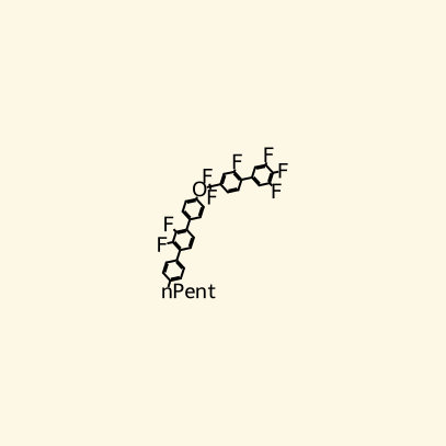 CCCCCc1ccc(-c2ccc(-c3ccc(OC(F)(F)c4ccc(-c5cc(F)c(F)c(F)c5)c(F)c4)cc3)c(F)c2F)cc1